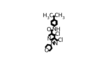 CC(C)c1ccc(NC(=O)c2cnc3c(c(Cl)nn3C3CCOCC3)c2Cl)cc1